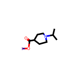 CC(C)N1CCC(C(=O)OI)CC1